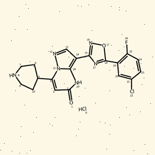 Cl.O=c1cc(C2CCNCC2)n2ncc(-c3noc(-c4cc(Cl)ccc4F)n3)c2[nH]1